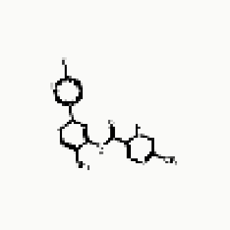 NC1=CCC(c2ccc(F)nc2)C=C1NC(=O)C1=CN=C(C(F)(F)F)CN1